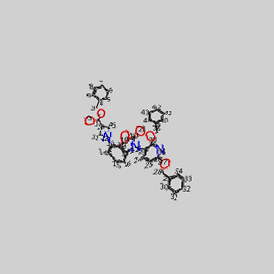 O=C(OCc1ccccc1)C1CN(c2cccc3c2oc(=O)n3-c2ccc(OCc3ccccc3)nc2OCc2ccccc2)C1